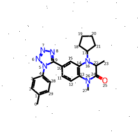 Cc1ccc(-n2nnnc2-c2ccc3c(c2)N(C2CCCC2)C(C)C(=O)N3C)cc1